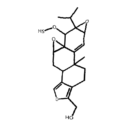 CC(C)C12OC1C=C1C3(C)CCc4c(coc4CO)C3CC3OC13C2OS